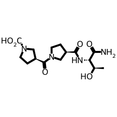 C[C@@H](O)[C@H](NC(=O)[C@@H]1CCN(C(=O)[C@H]2CCN(C(=O)O)C2)C1)C(N)=O